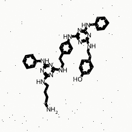 NCCCCNc1nc(NCCc2ccc(Nc3nc(NCCc4ccc(O)cc4)nc(Nc4ccccc4)n3)cc2)nc(Nc2ccccc2)n1